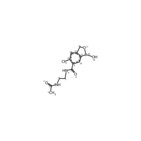 CC(=O)NCCNC(=O)c1cc2c(cc1Cl)COB2O